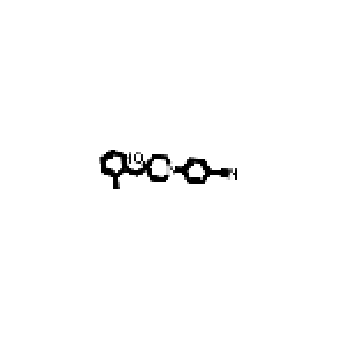 Cc1ccccc1CC1(O)CCN(c2ccc(C#N)cc2)CC1